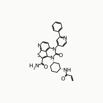 C=CC(=O)N[C@@H]1CCC[C@H](N2C(=O)N(c3ccnc(-c4ccccc4)c3)c3ccnc4sc(C(N)=O)c2c34)C1